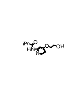 CC(C)C(=O)Nc1cc(OCCO)ccn1